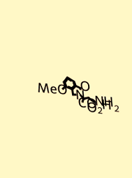 COc1cccc2c1CN(C(CC(N)=O)C(=O)O)C2=O